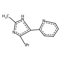 Cc1nc(C(C)C)c(-c2ccccn2)[nH]1